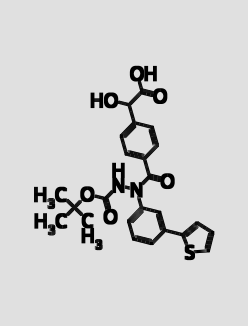 CC(C)(C)OC(=O)NN(C(=O)c1ccc(C(O)C(=O)O)cc1)c1cccc(-c2cccs2)c1